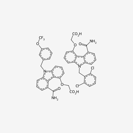 NC(=O)c1cccc2c1c1c(OCC(=O)O)cccc1n2Cc1c(Cl)cccc1Cl.NC(=O)c1cccc2c1c1c(OCC(=O)O)cccc1n2Cc1cccc(OC(F)(F)F)c1